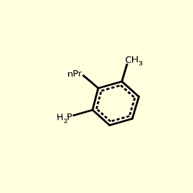 CCCc1c(C)cccc1P